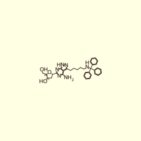 Nc1nc(C2C[C@H](O)[C@@H](CO)O2)nc2[nH]nc(CCCCCNC(c3ccccc3)(c3ccccc3)c3ccccc3)c12